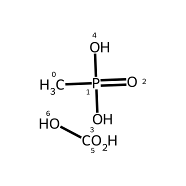 CP(=O)(O)O.O=C(O)O